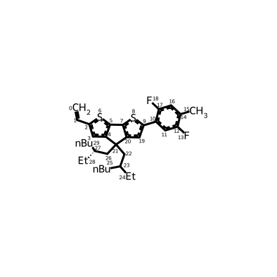 C=Cc1cc2c(s1)-c1sc(-c3cc(F)c(C)cc3F)cc1C2(CC(CC)CCCC)C[C@H](CC)CCCC